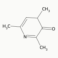 CC1=CC(C)C(=O)C(C)=N1